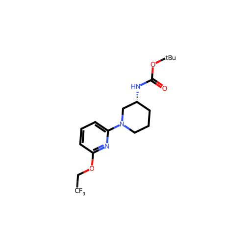 CC(C)(C)OC(=O)N[C@@H]1CCCN(c2cccc(OCC(F)(F)F)n2)C1